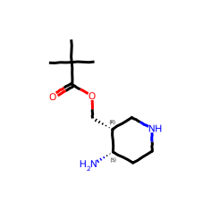 CC(C)(C)C(=O)OC[C@@H]1CNCC[C@@H]1N